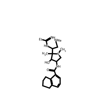 CCC(=N)NC(CNC)C1(C)C(O)C(NC(=O)c2cccc3c2CCCC3)CN1C